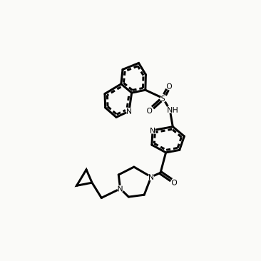 O=C(c1ccc(NS(=O)(=O)c2cccc3cccnc23)nc1)N1CCN(CC2CC2)CC1